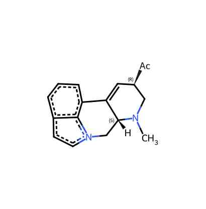 CC(=O)[C@@H]1C=C2c3cccc4ccn(c34)C[C@H]2N(C)C1